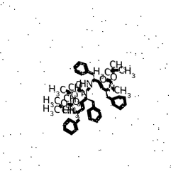 CN(C(=O)OC(C)(C)C)[C@H](/C=C/[C@@H](Cc1ccccc1)NCN(C(=O)OC(C)(C)C)[C@H](/C=C/[C@H](Cc1ccccc1)NC(=O)OC(C)(C)C)Cc1ccccc1)Cc1ccccc1